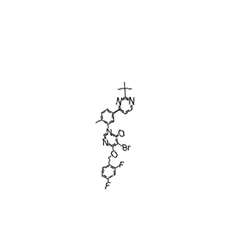 Cc1ccc(-c2ccnc(C(C)(C)C)n2)cc1-n1cnc(OCc2ccc(F)cc2F)c(Br)c1=O